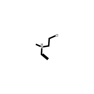 C=C[SiH](C)CCCl